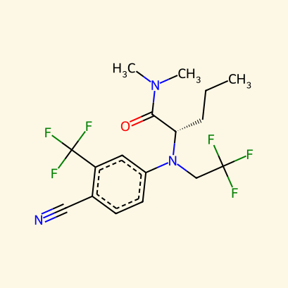 CCC[C@@H](C(=O)N(C)C)N(CC(F)(F)F)c1ccc(C#N)c(C(F)(F)F)c1